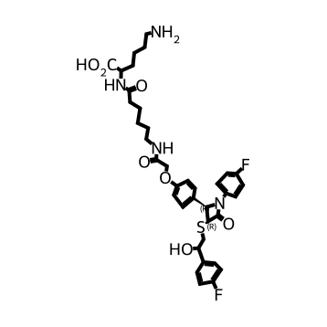 NCCCCC(NC(=O)CCCCCNC(=O)COc1ccc([C@@H]2[C@@H](SCC(O)c3ccc(F)cc3)C(=O)N2c2ccc(F)cc2)cc1)C(=O)O